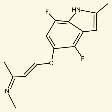 C/N=C(C)\C=C\Oc1cc(F)c2[nH]c(C)cc2c1F